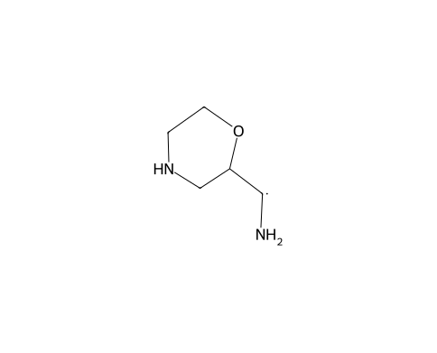 N[CH]C1CNCCO1